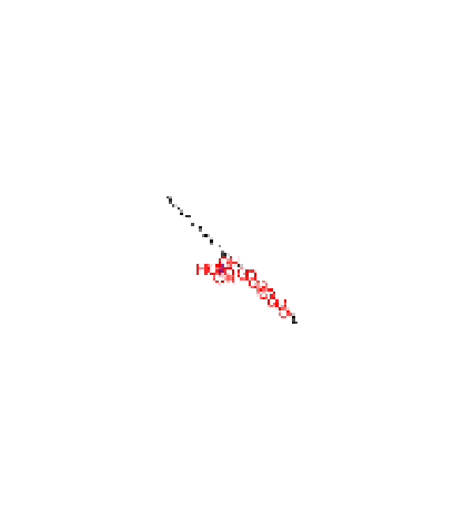 CC=COOOOOOOOOCCCCCCCCCCCCCCCC.O=P(O)(O)O